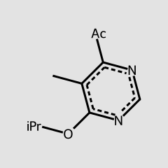 CC(=O)c1ncnc(OC(C)C)c1C